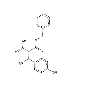 NC(c1ccc(O)cc1)C(C(=O)O)C(=O)OCc1ccccc1